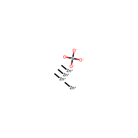 [CH3][Zn+].[CH3][Zn+].[CH3][Zn+].[CH3][Zn+].[O-][Si]([O-])([O-])[O-]